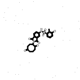 Cc1c(Cl)cccc1S(=O)(=O)Nc1ccc2c(c1)C(=O)N(C1CCC(=O)CCCC1=O)C2=O